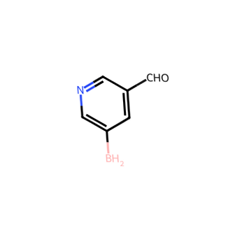 Bc1cncc(C=O)c1